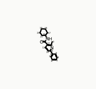 Cc1nc(-c2ccccc2)ccc1C(=O)NC1CCCCC1